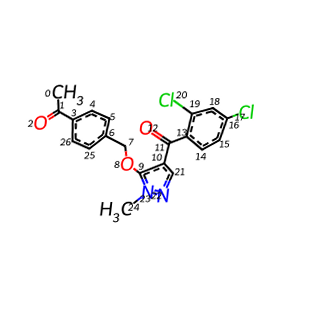 CC(=O)c1ccc(COc2c(C(=O)c3ccc(Cl)cc3Cl)cnn2C)cc1